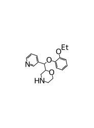 CCOc1ccccc1OC(c1cccnc1)C1CNCCO1